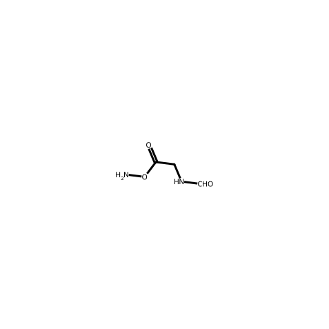 NOC(=O)CNC=O